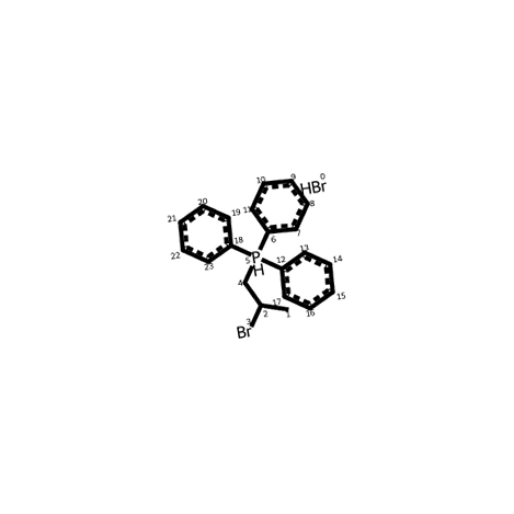 Br.CC(Br)C[PH](c1ccccc1)(c1ccccc1)c1ccccc1